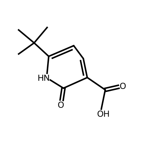 CC(C)(C)c1ccc(C(=O)O)c(=O)[nH]1